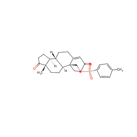 Cc1ccc(S(=O)(=O)OC[C@]23CCC(=O)C=C2CC[C@@H]2[C@@H]3CC[C@]3(C)C(=O)CC[C@@H]23)cc1